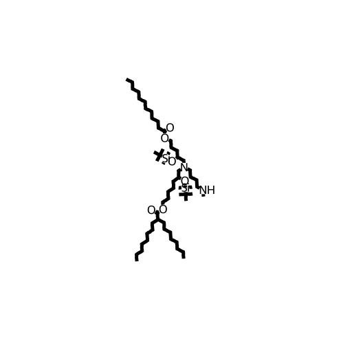 CCCCCCCCCCCC(=O)OCCCC(CN(CCCCNC)CC(CCCCCOC(=O)C(CCCCCCCC)CCCCCCCC)O[Si](C)(C)C(C)(C)C)O[Si](C)(C)C(C)(C)C